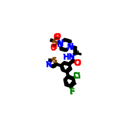 C[C@H](CN1CCN(S(C)(=O)=O)CC1)NC(=O)c1cc(-c2cncs2)cc(-c2ccc(F)cc2Cl)c1